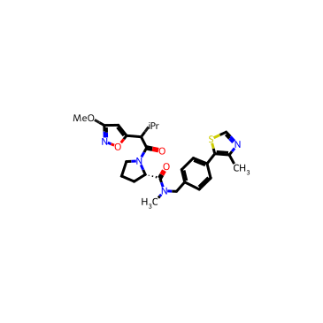 COc1cc(C(C(=O)N2CCC[C@H]2C(=O)N(C)Cc2ccc(-c3scnc3C)cc2)C(C)C)on1